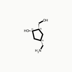 NC[C@H]1C[C@@H](CO)[C@@H](O)C1